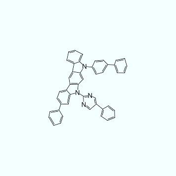 c1ccc(-c2ccc(-n3c4ccccc4c4cc5c6ccc(-c7ccccc7)cc6n(-c6ncc(-c7ccccc7)cn6)c5cc43)cc2)cc1